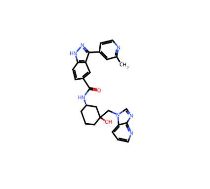 Cc1cc(-c2n[nH]c3ccc(C(=O)N[C@@H]4CCCC(O)(Cn5cnc6ncccc65)C4)cc23)ccn1